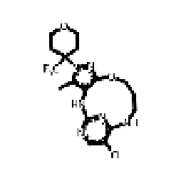 Cc1c2c(nn1C1(C(F)(F)F)CCOCC1)OCCCNc1nc(ncc1Cl)N2